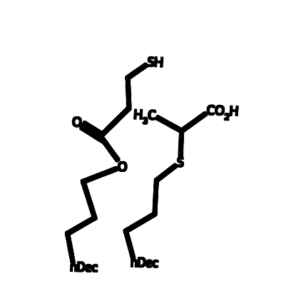 CCCCCCCCCCCCCOC(=O)CCS.CCCCCCCCCCCCCSC(C)C(=O)O